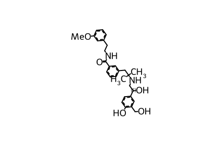 COc1cccc(CCNC(=O)c2cccc(CC(C)(C)NC[C@@H](O)c3ccc(O)c(CO)c3)c2)c1